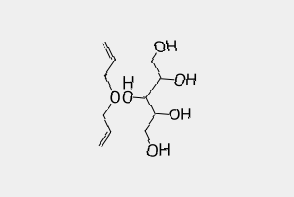 C=CCOCC=C.OCC(O)C(O)C(O)CO